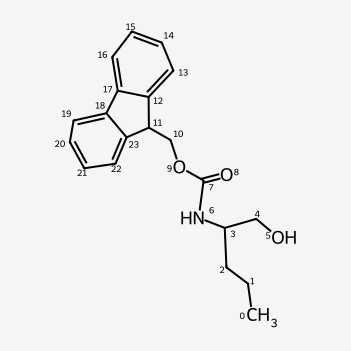 CCCC(CO)NC(=O)OCC1c2ccccc2-c2ccccc21